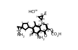 Cc1c(C2CCC3(C2)CN3N)c(F)c(N)c2c(=O)c(OC(=O)O)cn([C@@H]3C[C@@H]3F)c12.Cl